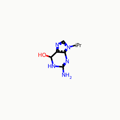 CC(C)n1cnc2c1N=C(N)NC2O